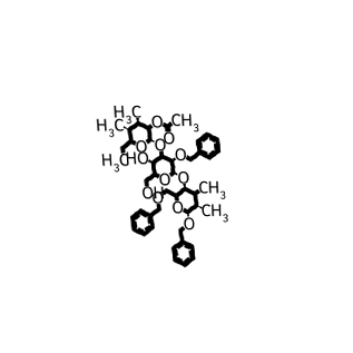 CCC1O[C@@H](OC2[C@H](O)C(CO)O[C@@H](O[C@@H]3C(COCc4ccccc4)O[C@@H](OCc4ccccc4)[C@@H](C)C3C)[C@@H]2OCc2ccccc2)C(OC(C)=O)[C@H](C)[C@H]1C